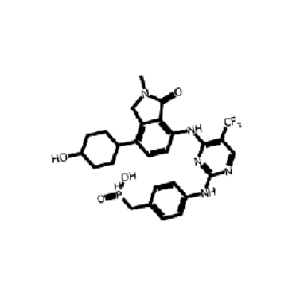 CN1Cc2c(C3CCC(O)CC3)ccc(Nc3nc(Nc4ccc(C[PH](=O)O)cc4)ncc3C(F)(F)F)c2C1=O